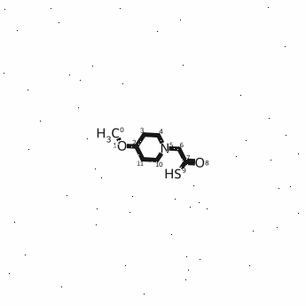 COC1CCN(CC(=O)S)CC1